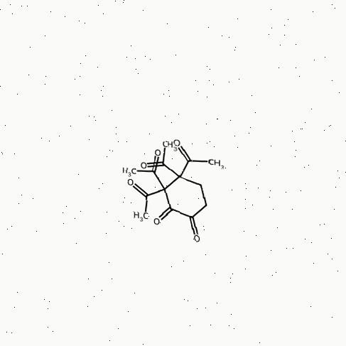 CC(=O)C1(C(C)=O)CCC(=O)C(=O)C1(C(C)=O)C(C)=O